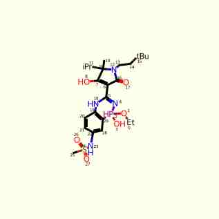 CCO[PH]1(O)N=C(C2=C(O)C(C)(C(C)C)N(CCC(C)(C)C)C2=O)Nc2ccc(NS(C)(=O)=O)cc21